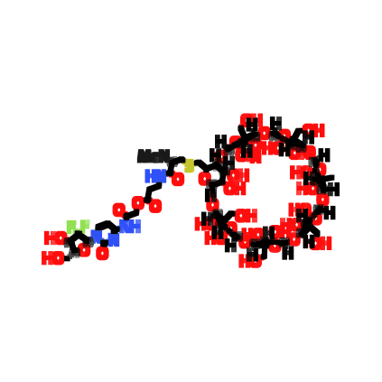 CN[C@H](CSCC1O[C@H]2O[C@@H]3C(CO)O[C@H](O[C@@H]4C(CO)O[C@H](O[C@@H]5C(CO)O[C@@H](O[C@H]6C(C)O[C@H](O[C@@H]7C(CO)O[C@@H](O[C@@H]8C(CO)O[C@@H](O[C@H]1[C@H](O)C2O)C(O)[C@H]8O)C(O)[C@H]7O)C(O)[C@H]6O)C(O)[C@H]5O)C(O)[C@H]4O)C(O)[C@H]3O)C(=O)NCCC(=O)OCC(=O)Nc1ccn([C@@H]2O[C@H](CO)[C@@H](O)C2(F)F)c(=O)n1